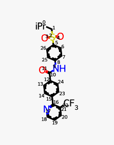 CC(C)CS(=O)(=O)c1ccc(NC(=O)c2ccc(-c3ncccc3C(F)(F)F)cc2)cc1